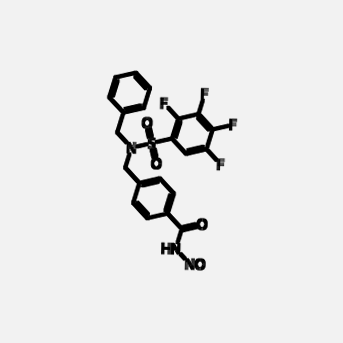 O=NNC(=O)c1ccc(CN(Cc2ccccc2)S(=O)(=O)c2cc(F)c(F)c(F)c2F)cc1